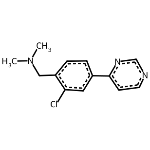 CN(C)Cc1ccc(-c2ccncn2)cc1Cl